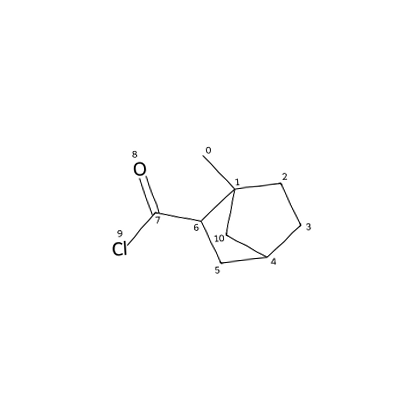 CC12CCC(CC1C(=O)Cl)C2